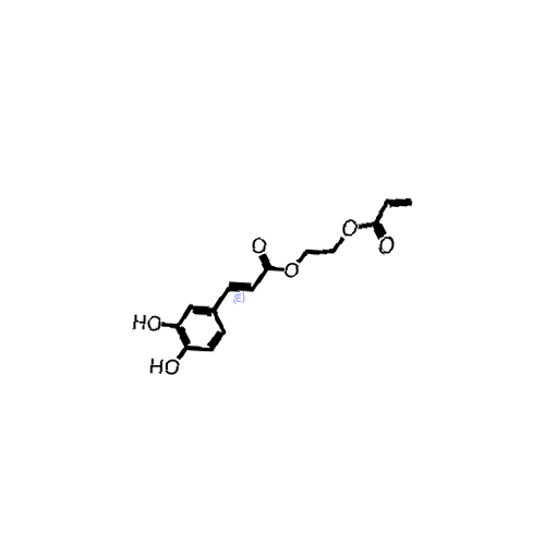 C=CC(=O)OCCOC(=O)/C=C/c1ccc(O)c(O)c1